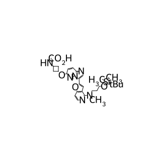 CN(CCCO[Si](C)(C)C(C)(C)C)c1nccc2oc(-c3cnc4ccc(O[C@H]5C[C@H](NC(=O)O)C5)nn34)cc12